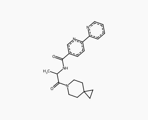 CC(NC(=O)c1ccc(-c2ccccn2)nc1)C(=O)N1CCC2(CC1)CC2